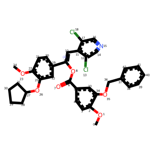 COc1ccc(C(=O)O/C(=C\c2c(Cl)cncc2Cl)c2ccc(OC)c(OC3CCCC3)c2)cc1OCc1ccccc1